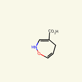 O=C(O)C1=CNOC=CC1